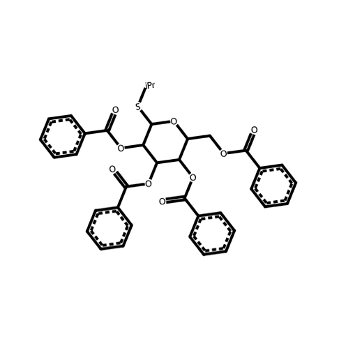 CC(C)SC1OC(COC(=O)c2ccccc2)C(OC(=O)c2ccccc2)C(OC(=O)c2ccccc2)C1OC(=O)c1ccccc1